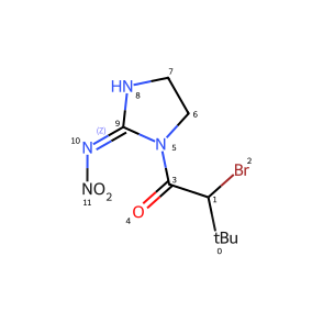 CC(C)(C)C(Br)C(=O)N1CCN/C1=N/[N+](=O)[O-]